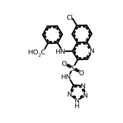 O=C(O)c1ccccc1Nc1c(S(=O)(=O)Nc2nn[nH]n2)cnc2ccc(Cl)cc12